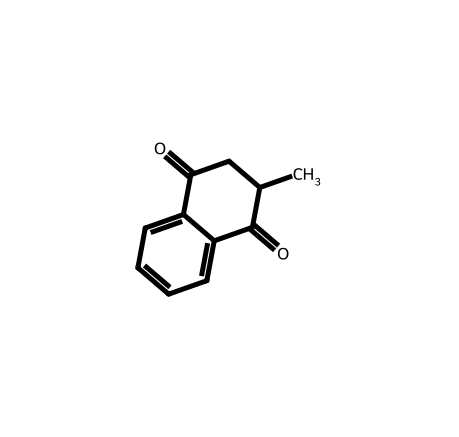 CC1CC(=O)c2ccccc2C1=O